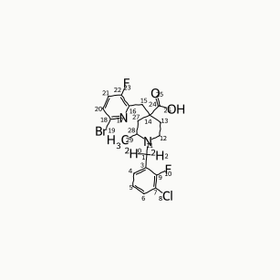 [2H]C([2H])(c1cccc(Cl)c1F)N1CCC(Cc2nc(Br)ccc2F)(C(=O)O)CC1C